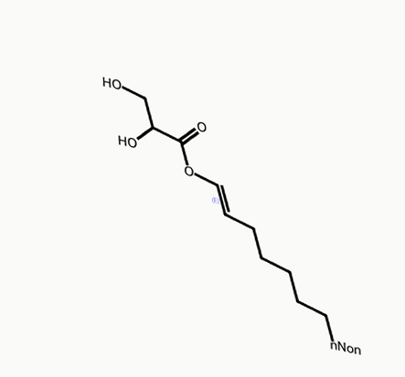 CCCCCCCCCCCCCC/C=C/OC(=O)C(O)CO